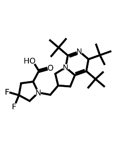 CC(C)(C)C1=NC(C(C)(C)C)C(C(C)(C)C)=C2CC(CN3CC(F)(F)CC3C(=O)O)CN12